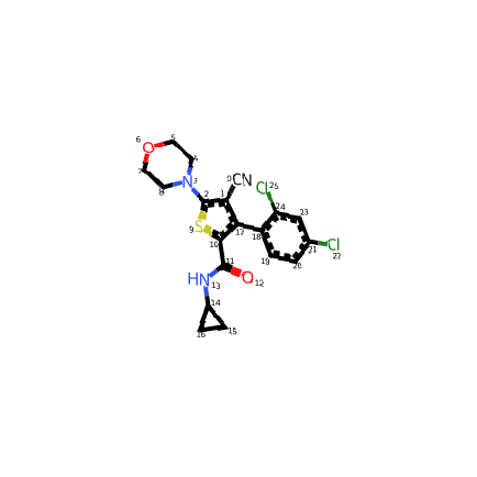 N#Cc1c(N2CCOCC2)sc(C(=O)NC2CC2)c1-c1ccc(Cl)cc1Cl